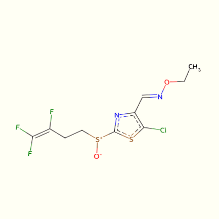 CCON=Cc1nc([S+]([O-])CCC(F)=C(F)F)sc1Cl